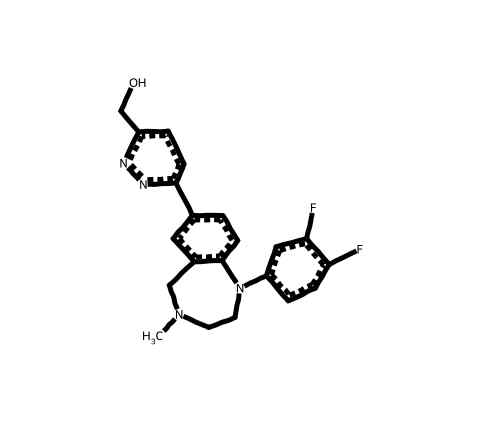 CN1CCN(c2ccc(F)c(F)c2)c2ccc(-c3ccc(CO)nn3)cc2C1